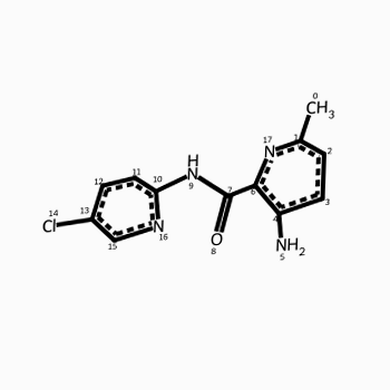 Cc1ccc(N)c(C(=O)Nc2ccc(Cl)cn2)n1